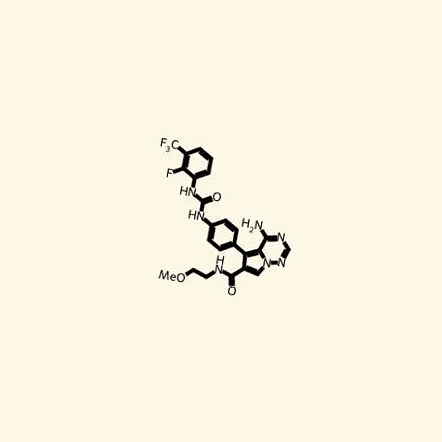 COCCNC(=O)c1cn2ncnc(N)c2c1-c1ccc(NC(=O)Nc2cccc(C(F)(F)F)c2F)cc1